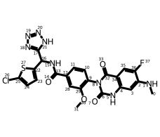 CNc1cc2[nH]c(=O)n(-c3ccc(C(=O)NC(c4nnn[nH]4)c4ccc(Cl)s4)cc3OC)c(=O)c2cc1F